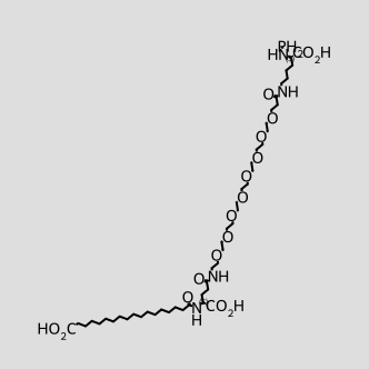 O=C(O)CCCCCCCCCCCCCCCCC(=O)N[C@@H](CCC(=O)NCCOCCOCCOCCOCCOCCOCCOCCOCCC(=O)NCCCC[C@H](NP)C(=O)O)C(=O)O